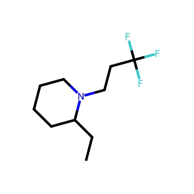 CCC1CCCCN1CCC(F)(F)F